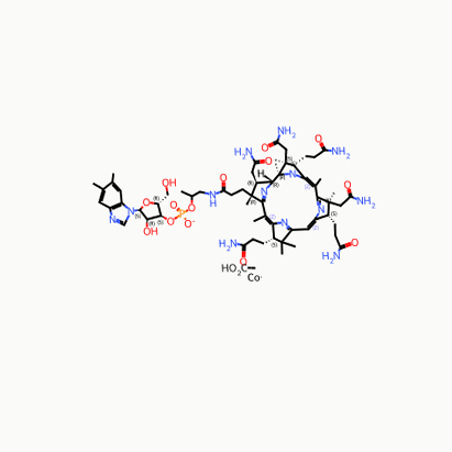 C/C1=C2N=C(/C=C3N=C(/C(C)=C4\[N-][C@@](C)([C@@H]5N=C1[C@](C)(CCC(=O)NCC(C)OP(=O)([O-])O[C@H]1[C@@H](O)[C@@H](n6cnc7cc(C)c(C)cc76)O[C@@H]1CO)[C@H]5CC(N)=O)[C@@](C)(CC(N)=O)[C@@H]4CCC(N)=O)[C@@](C)(CC(N)=O)[C@@H]\3CCC(N)=O)C(C)(C)[C@@H]/2CCC(N)=O.CC(=O)O.[Co]